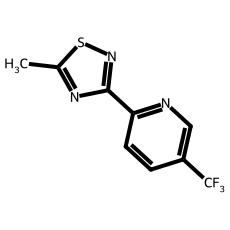 Cc1nc(-c2ccc(C(F)(F)F)cn2)ns1